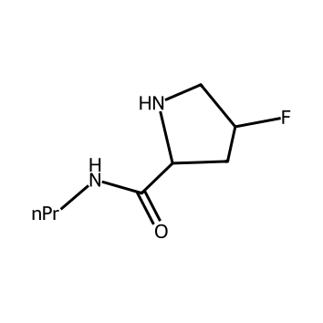 CCCNC(=O)C1CC(F)CN1